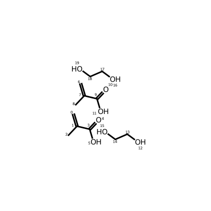 C=C(C)C(=O)O.C=C(C)C(=O)O.OCCO.OCCO